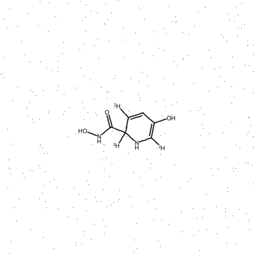 [2H]C1=CC(O)=C([2H])NC1([2H])C(=O)NO